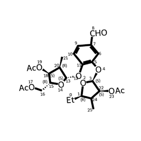 CC[C@H]1O[C@@H](Oc2cc(C=O)ccc2O[C@@H]2O[C@H](COC(C)=O)[C@@H](OC(C)=O)[C@H]2C)[C@@H](OC(C)=O)C1C